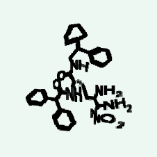 NC(=N[N+](=O)[O-])C(N)CC[C@H](NC(=O)C(c1ccccc1)c1ccccc1)C(=O)NCC(c1ccccc1)c1ccccc1